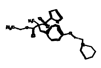 CCOC(=O)C(C)(Cc1ccc(OCCN2CCCCC2)cc1)S(=O)(=O)c1cccs1